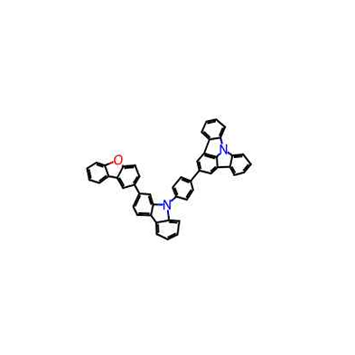 c1ccc2c(c1)oc1ccc(-c3ccc4c5ccccc5n(-c5ccc(-c6cc7c8ccccc8n8c9ccccc9c(c6)c78)cc5)c4c3)cc12